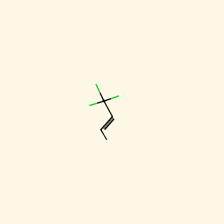 CC(=O)/C=C/C(Cl)(Cl)Cl